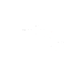 COc1ccc(CS(=O)(=O)c2ccc(F)c(C#N)c2)cc1F